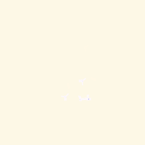 O=C(Nc1c[nH]nc1C(=O)NCc1ccccc1)c1ccc(Oc2ccccc2)cc1